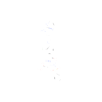 O=C(O)CC(NC(=O)c1ccc(N2CCC(Nc3ncccn3)CC2)c(Cl)c1)NS(=O)(=O)c1ccccc1